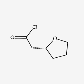 O=C(Cl)C[C@H]1CCCO1